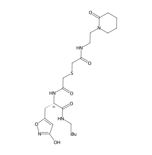 CCC(C)CNC(=O)[C@H](Cc1cc(O)no1)NC(=O)CSCC(=O)NCCN1CCCCC1=O